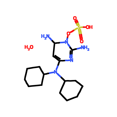 NC1=NC(N(C2CCCCC2)C2CCCCC2)=CC(N)N1OS(=O)(=O)O.O